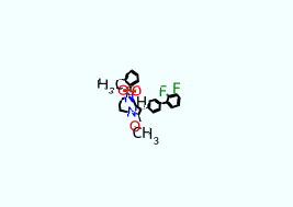 COC[C@@H]1[C@@H](c2ccc(-c3cccc(F)c3F)cc2)[C@@H]2CN(S(=O)(=O)c3ccccc3C)CCCCN12